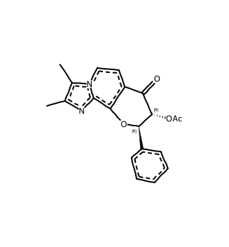 CC(=O)O[C@H]1C(=O)c2ccn3c(C)c(C)nc3c2O[C@@H]1c1ccccc1